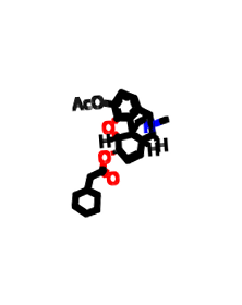 CC(=O)Oc1ccc2c3c1O[C@H]1[C@@H](OC(=O)CC4CCCCC4)C=C[C@H]4[C@@H](C2)N(C)CC[C@@]341